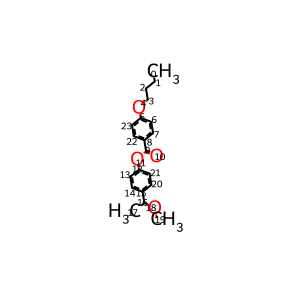 CCCCOc1ccc(C(=O)Oc2ccc(C(C)OC)cc2)cc1